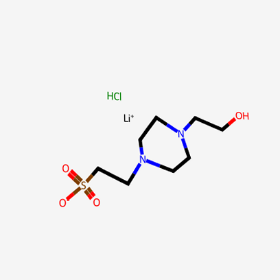 Cl.O=S(=O)([O-])CCN1CCN(CCO)CC1.[Li+]